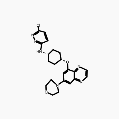 Clc1ccc(N[C@H]2CC[C@@H](Oc3cc(N4CCOCC4)cc4nccnc34)CC2)nn1